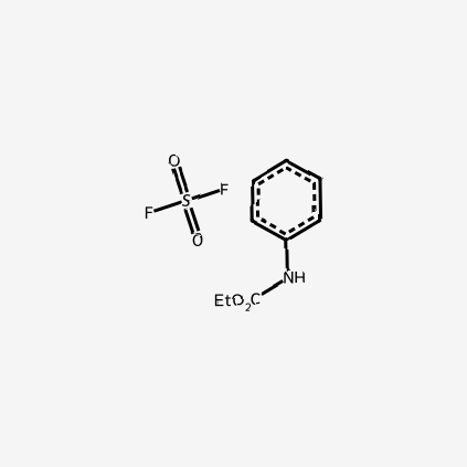 CCOC(=O)Nc1ccccc1.O=S(=O)(F)F